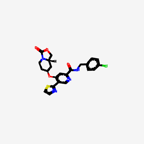 O=C(NCc1ccc(Cl)cc1)c1cc(O[C@H]2CCN3C(=O)OC[C@@H]3C2)c(-c2nccs2)cn1